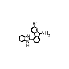 NC1c2cc(Br)ccc2-c2c(-c3nc4ccccc4[nH]3)cccc21